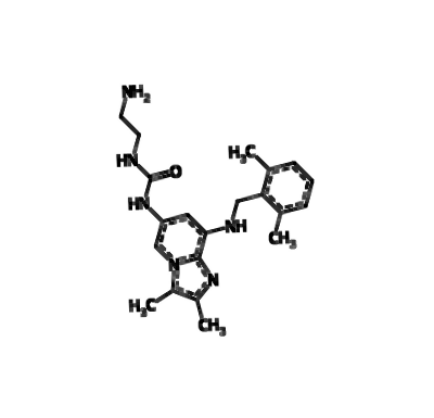 Cc1cccc(C)c1CNc1cc(NC(=O)NCCN)cn2c(C)c(C)nc12